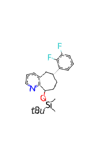 CC(C)(C)[Si](C)(C)O[C@@H]1CC[C@@H](c2cccc(F)c2F)Cc2cccnc21